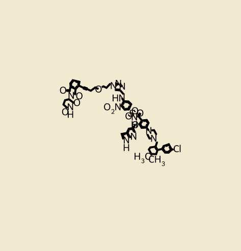 CC1(C)CCC(CN2CCN(c3ccc(C(=O)NS(=O)(=O)c4ccc(NCc5cn(CCCOCCC#Cc6cccc7c6C(=O)N(C6CCC(=O)NC6=O)C7=O)nn5)c([N+](=O)[O-])c4)c(Oc4cnc5[nH]ccc5c4)c3)CC2)=C(c2ccc(Cl)cc2)C1